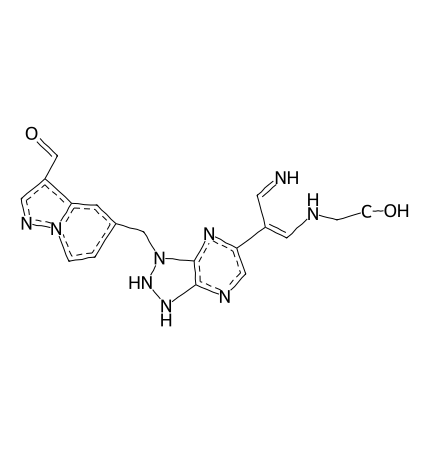 N=C/C(=C\NCCO)c1cnc2c(n1)N(Cc1ccn3ncc(C=O)c3c1)NN2